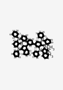 CC1(C)C2=C(c3ccccc31)N(c1ccccc1)c1cc(-c3cccc(C4C5=C(c6ccccc64)N(c4ccccc4)c4cccc6c4B5c4ccccc4N6c4ccccc4)c3)cc3c1B2c1ccccc1N3c1ccccc1